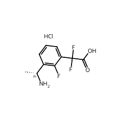 C[C@@H](N)c1cccc(C(F)(F)C(=O)O)c1F.Cl